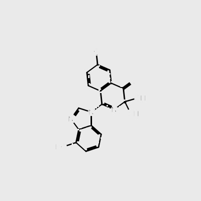 Cc1cccc2c1ncn2C1=NC(C)(C)C(=O)c2cc(Cl)ccc21